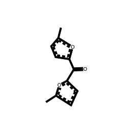 Cc1ccc(C(=O)c2ccc(C)o2)o1